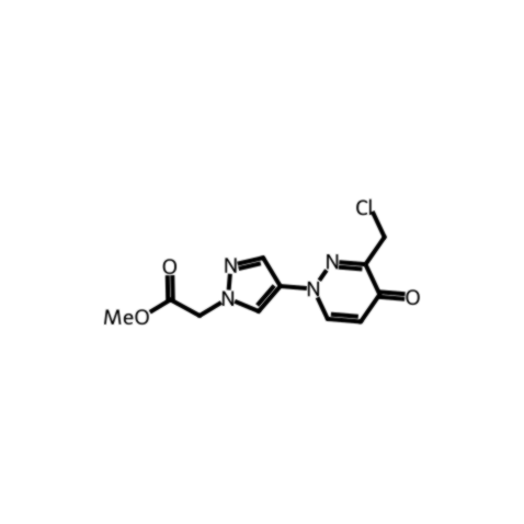 COC(=O)Cn1cc(-n2ccc(=O)c(CCl)n2)cn1